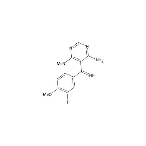 CNc1ncnc(N)c1C(=N)c1ccc(OC)c(F)c1